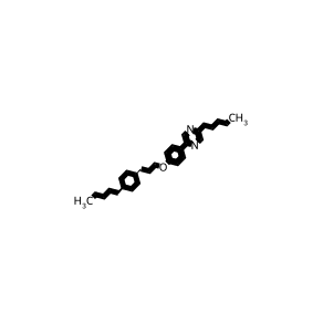 CCCCCc1cnc(-c2ccc(OCCC[C@H]3CC[C@H](CCCCC)CC3)cc2)cn1